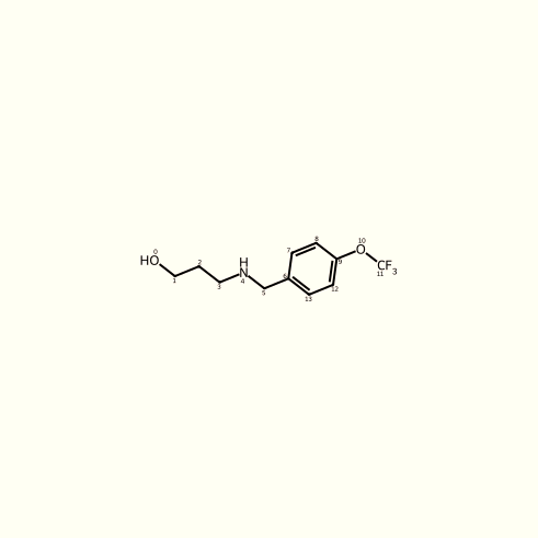 OCCCNCc1ccc(OC(F)(F)F)cc1